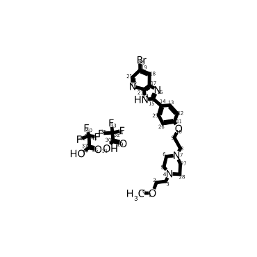 COCCN1CCN(CCOc2ccc(-c3nc4cc(Br)cnc4[nH]3)cc2)CC1.O=C(O)C(F)(F)F.O=C(O)C(F)(F)F